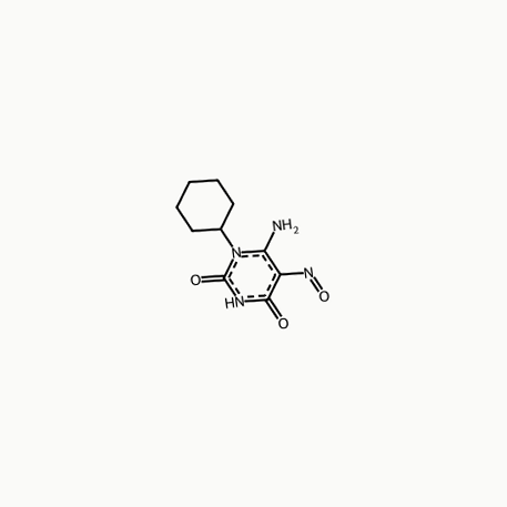 Nc1c(N=O)c(=O)[nH]c(=O)n1C1CCCCC1